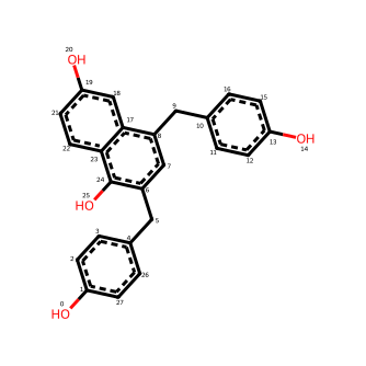 Oc1ccc(Cc2cc(Cc3ccc(O)cc3)c3cc(O)ccc3c2O)cc1